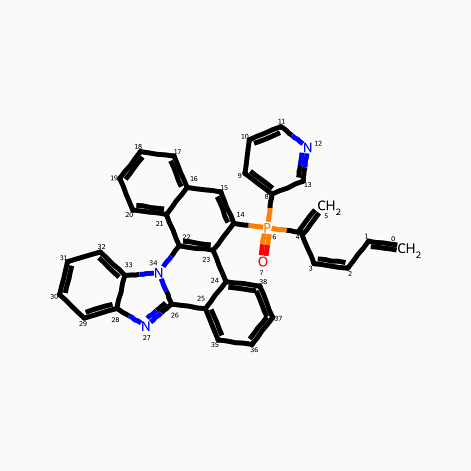 C=C/C=C\C(=C)P(=O)(c1cccnc1)c1cc2ccccc2c2c1c1c(c3nc4ccccc4n32)=CC=C=C=1